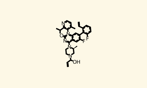 C=Cc1cccc(F)c1-c1cc2c(cc1F)c(N1CCN(C(O)C=C)C[C@@H]1C)nc(=O)n2-c1c(C)ccnc1C(C)C